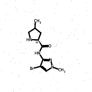 CC1CN[C@H](C(=O)Nc2nn(C)cc2Br)C1